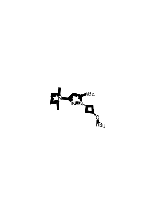 CCCCO[C@H]1C[C@H](n2nc(-n3c(C)ccc3C)cc2C(C)(C)C)C1